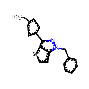 O=C(O)c1ccc(-c2nn(Cc3ccccc3)c3cc[se]c23)cc1